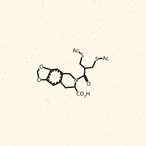 CC(=O)SCC(CSC(C)=O)C(=O)N1Cc2cc3c(cc2CC1C(=O)O)OCO3